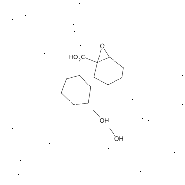 C1CCCCC1.CO.CO.O=C(O)C12CCCCC1O2